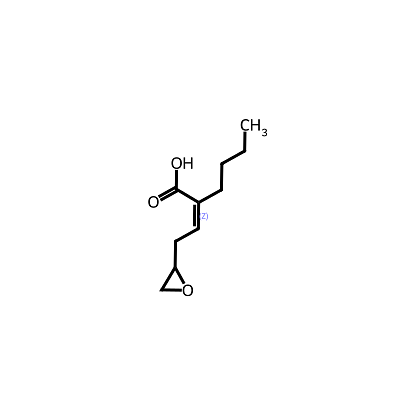 CCCC/C(=C/CC1CO1)C(=O)O